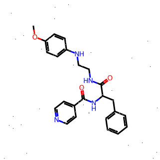 COc1ccc(NCCNC(=O)C(Cc2ccccc2)NC(=O)c2ccncc2)cc1